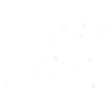 Cc1ccc(S(=O)(=O)n2ccc3c(N(C)[C@H]4CN(C(=O)CC#N)CC[C@H]4C)ncnc32)cc1